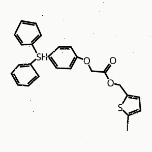 O=C(COc1ccc([SH](c2ccccc2)c2ccccc2)cc1)OCc1ccc(I)s1